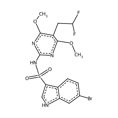 COc1nc(NS(=O)(=O)c2c[nH]c3cc(Br)ccc23)nc(OC)c1CC(F)F